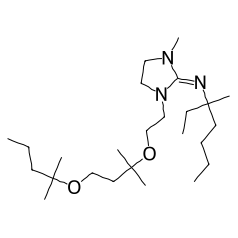 CCCCC(C)(CC)N=C1N(C)CCN1CCOC(C)(C)CCOC(C)(C)CCC